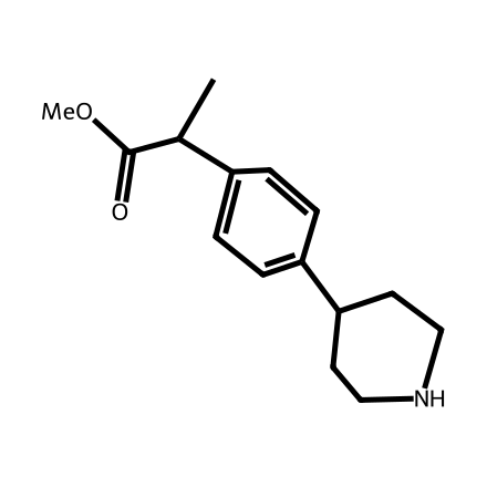 COC(=O)C(C)c1ccc(C2CCNCC2)cc1